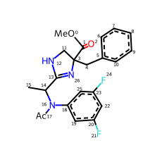 COC(=O)C1(Cc2ccccc2)CNC(C(C)N(C(C)=O)c2cc(F)cc(F)c2)=N1